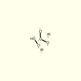 ClOCl.OCl.[Al].[Al]